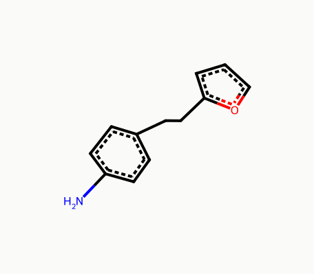 Nc1ccc(CCc2ccco2)cc1